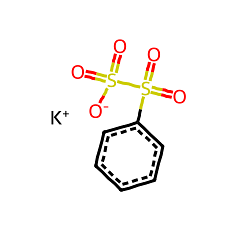 O=S(=O)([O-])S(=O)(=O)c1ccccc1.[K+]